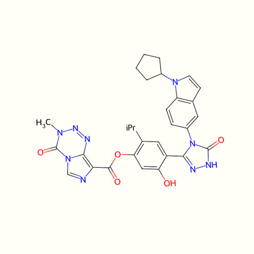 CC(C)c1cc(-c2n[nH]c(=O)n2-c2ccc3c(ccn3C3CCCC3)c2)c(O)cc1OC(=O)c1ncn2c(=O)n(C)nnc12